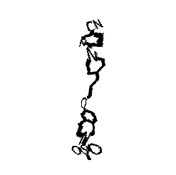 CS(=O)(=O)N1CCc2cc(OCCCC3CCN(c4ccc(C#N)cn4)CC3)ccc2C1